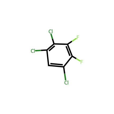 Fc1c(Cl)cc(Cl)c(Cl)c1F